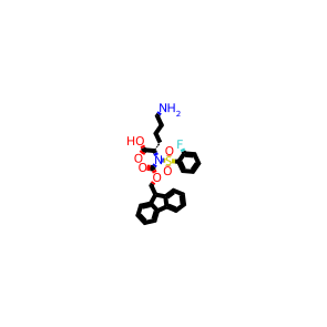 NCCCC[C@@H](C(=O)O)N(C(=O)OCC1c2ccccc2-c2ccccc21)S(=O)(=O)c1ccccc1F